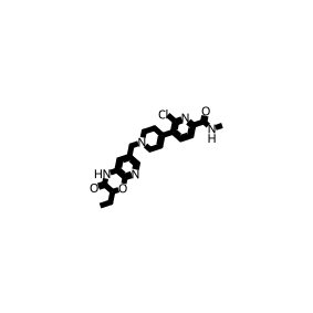 CCC1Oc2ncc(CN3CC=C(c4ccc(C(=O)NC)nc4Cl)CC3)cc2NC1=O